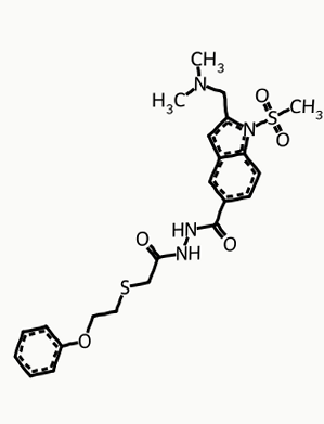 CN(C)Cc1cc2cc(C(=O)NNC(=O)CSCCOc3ccccc3)ccc2n1S(C)(=O)=O